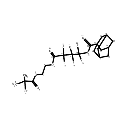 CCC(C)(C)C(=O)OCCOC(=O)C(F)(F)C(F)(F)C(F)(F)OC(=O)C12CC3CC(CC(C3)C1)C2